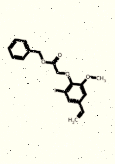 C=Cc1cc(I)c(OCC(=O)OCc2ccccc2)c(OC)c1